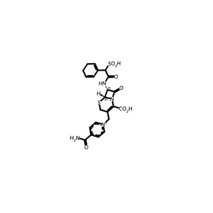 NC(=O)c1cc[n+](CC2=C(C(=O)O)N3C(=O)[C@@H](NC(=O)C(C4=CCCC=C4)S(=O)(=O)O)[C@H]3SC2)cc1